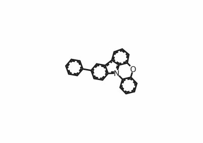 c1ccc(-c2ccc3c(c2)c2cccc4c2n3-c2ccccc2O4)cc1